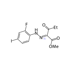 CCC(=O)/C(=N\Nc1ccc(I)cc1F)C(=O)OC